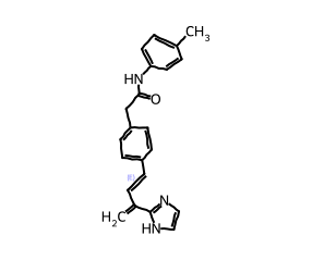 C=C(/C=C/c1ccc(CC(=O)Nc2ccc(C)cc2)cc1)c1ncc[nH]1